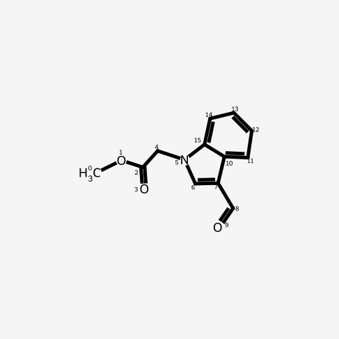 COC(=O)Cn1cc(C=O)c2ccccc21